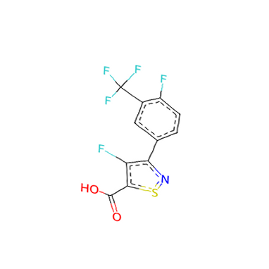 O=C(O)c1snc(-c2ccc(F)c(C(F)(F)F)c2)c1F